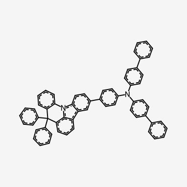 c1ccc(-c2ccc(N(c3ccc(-c4ccccc4)cc3)c3ccc(-c4ccc5c(c4)c4cccc6c4n5-c4ccccc4C6(c4ccccc4)c4ccccc4)cc3)cc2)cc1